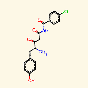 NC(Cc1ccc(O)cc1)C(=O)CC(=O)NC(=O)c1ccc(Cl)cc1